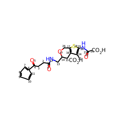 O=C(CCC(=O)c1ccccc1)NCC1Cc2c(sc(NC(=O)C(=O)O)c2C(=O)O)CO1